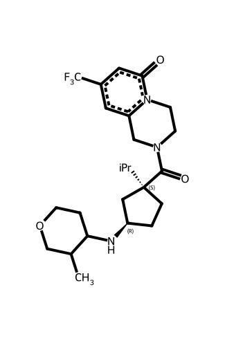 CC1COCCC1N[C@@H]1CC[C@@](C(=O)N2CCn3c(cc(C(F)(F)F)cc3=O)C2)(C(C)C)C1